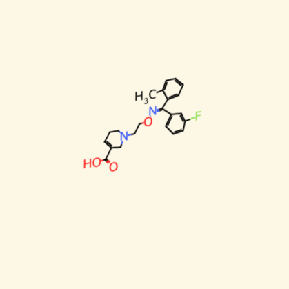 Cc1ccccc1C(=NOCCN1CCC=C(C(=O)O)C1)c1cccc(F)c1